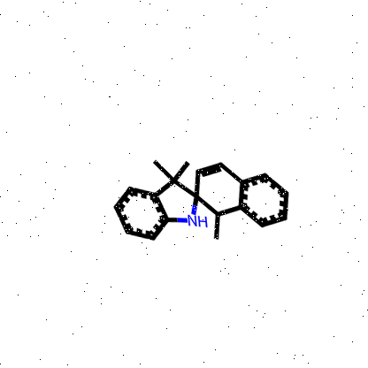 CC1c2ccccc2C=CC12Nc1ccccc1C2(C)C